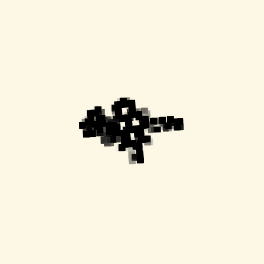 COC(=O)C1=C(C)NC(C)=C(C(=O)OC)C1c1ccccc1Nc1nc(C)cs1